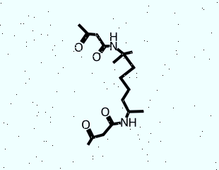 CC(=O)CC(=O)NC(C)CCCCC(C)(C)NC(=O)CC(C)=O